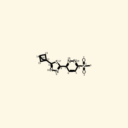 CS(=O)(=O)c1ccc(-c2nnc(C34CC(C3)C4)s2)nn1